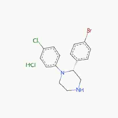 Cl.Clc1ccc(N2CCNC[C@H]2c2ccc(Br)cc2)cc1